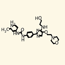 C=C/C=C(\C=C/N)NC(=O)Nc1ccc(-c2ncc(OCCN3CCOCC3)c(NCCO)n2)cc1